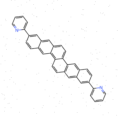 c1ccc(-c2ccc3cc4c(ccc5c6cc7ccc(-c8ccccn8)cc7cc6ccc45)cc3c2)nc1